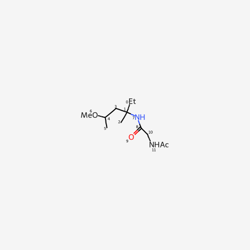 CCC(C)(CC(C)OC)NC(=O)CNC(C)=O